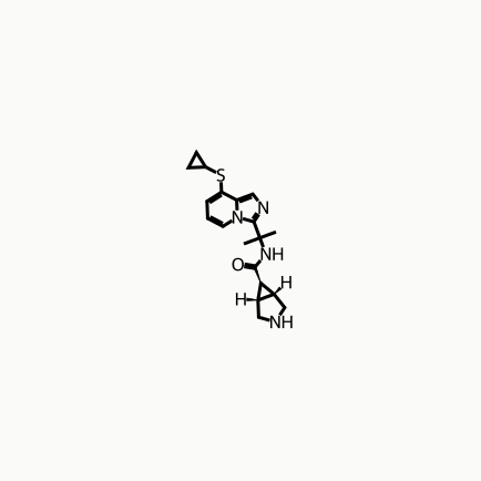 CC(C)(NC(=O)[C@H]1[C@@H]2CNC[C@@H]21)c1ncc2c(SC3CC3)cccn12